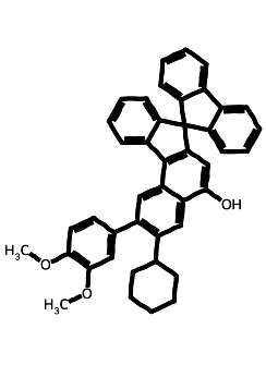 COc1ccc(-c2cc3c4c(cc(O)c3cc2C2CCCCC2)C2(c3ccccc3-c3ccccc32)c2ccccc2-4)cc1OC